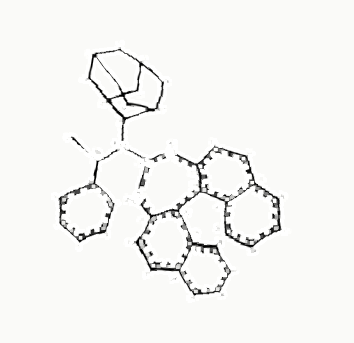 C[C@H](c1ccccc1)N(C1C2CC3CC(C2)CC1C3)p1oc2ccc3ccccc3c2c2c(ccc3ccccc32)o1